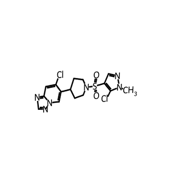 Cn1ncc(S(=O)(=O)N2CCC(c3cn4ncnc4cc3Cl)CC2)c1Cl